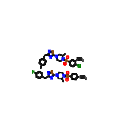 CC1CN(c2nc(Cc3ccc(F)cc3)ns2)CCN1S(=O)(=O)c1ccc([N+](=O)[O-])cc1.Cc1ccc(Cc2nsc(N3CCN(S(=O)(=O)c4ccc(Cl)c([N+](=O)[O-])c4)C(C)C3)n2)cc1